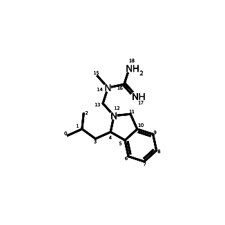 CC(C)CC1c2ccccc2CN1CN(C)C(=N)N